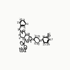 CC(C)(C)OC(=O)NC1CCN(Cc2ccccc2)CC1CO[C@H]1CC[C@@H](c2cccc(F)c2)CC1